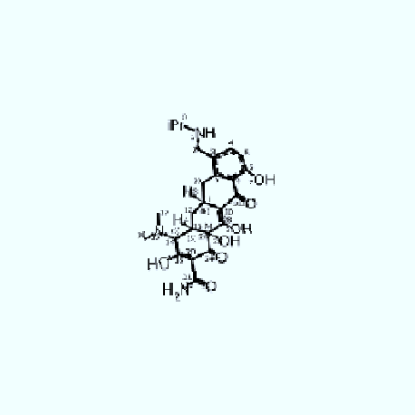 CC(C)NCc1ccc(O)c2c1C[C@H]1C[C@H]3[C@H](N(C)C)C(O)=C(C(N)=O)C(=O)[C@@]3(O)C(O)=C1C2=O